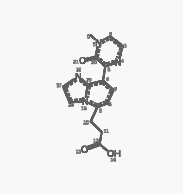 Cn1ccnc(-c2ccc(CCC(=O)O)n3ccnc23)c1=O